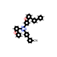 N#Cc1cccc(-c2ccc(-c3nc(-c4ccc5c(c4)oc4cccc(-c6cccc(-c7ccccc7)c6)c45)nc(-c4cccc5oc6ccccc6c45)n3)cc2)c1